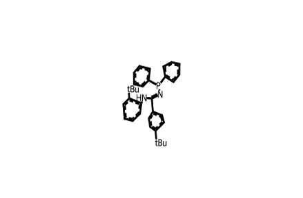 CC(C)(C)c1ccc(C(=NP(c2ccccc2)c2ccccc2)Nc2ccccc2C(C)(C)C)cc1